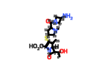 CC(O)C1C(=O)N2C(C(=O)O)=C(SC3CC(C(=O)N4CC(N)C4)N(C)C3)C(C)[C@@H]12